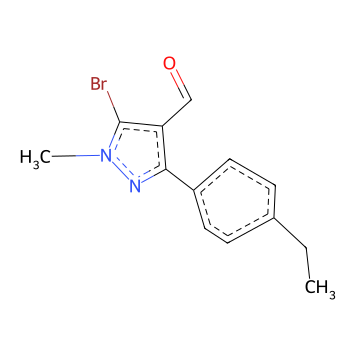 CCc1ccc(-c2nn(C)c(Br)c2C=O)cc1